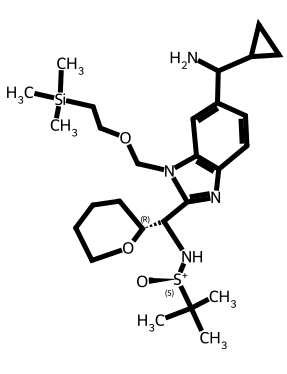 CC(C)(C)[S@@+]([O-])NC(c1nc2ccc(C(N)C3CC3)cc2n1COCC[Si](C)(C)C)[C@H]1CCCCO1